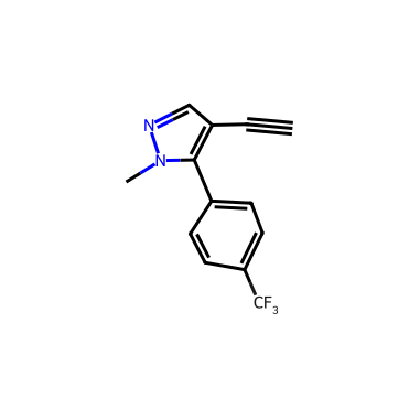 C#Cc1cnn(C)c1-c1ccc(C(F)(F)F)cc1